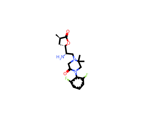 C[C@@H]1C[C@@H]([C@@H](N)CN2CC(=O)N(c3c(F)cccc3F)CC2(C)C)OC1=O